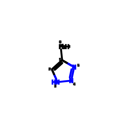 [PbH][c]1c[nH]nn1